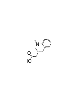 C=Nc1ccccc1/C=C(\C)CC(=O)O